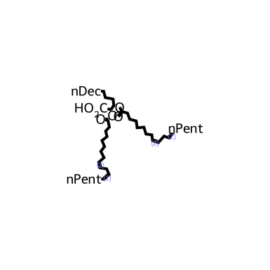 CCCCC/C=C\C/C=C\CCCCCCCC(=O)OC(CCCCCCCCCCCCC)C(OC(=O)CCCCCCC/C=C\C/C=C\CCCCC)C(=O)O